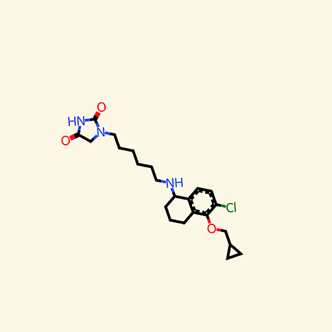 O=C1CN(CCCCCCNC2CCCc3c2ccc(Cl)c3OCC2CC2)C(=O)N1